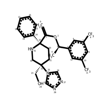 C=C(O[C@H](C)c1cc(C(F)(F)F)cc(C(F)(F)F)c1)[C@@]1(c2ccccc2)CC[C@@](CO)(n2cnnc2)CN1